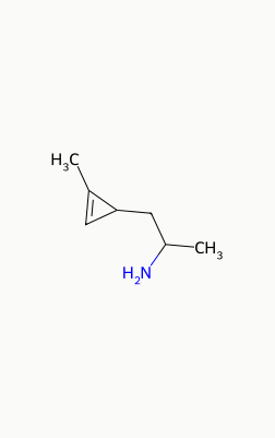 CC1=CC1CC(C)N